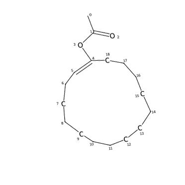 CC(=O)OC1=CCCCCCCCCCCCCC1